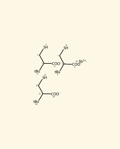 CC(C)(C)C(CS)C(=O)[O-].CC(C)(C)C(CS)C(=O)[O-].CC(C)(C)C(CS)C(=O)[O-].[Sb+3]